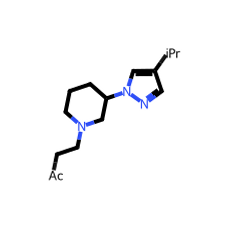 CC(=O)CCN1CCCC(n2cc(C(C)C)cn2)C1